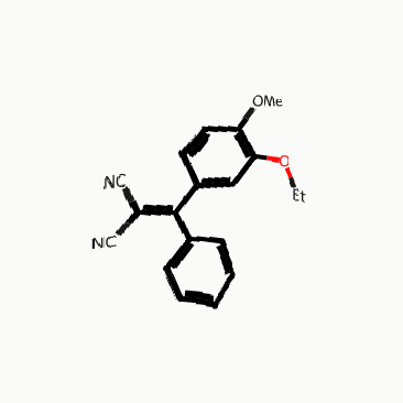 CCOc1cc(C(=C(C#N)C#N)c2ccccc2)ccc1OC